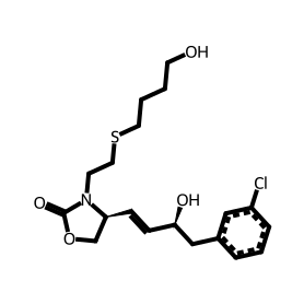 O=C1OC[C@H](/C=C/[C@@H](O)Cc2cccc(Cl)c2)N1CCSCCCCO